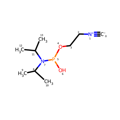 [C-]#[N+]CCOP(O)N(C(C)C)C(C)C